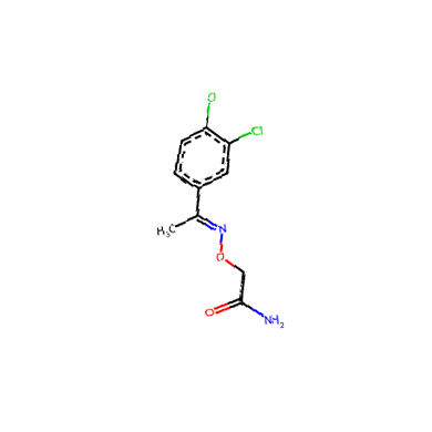 CC(=NOCC(N)=O)c1ccc(Cl)c(Cl)c1